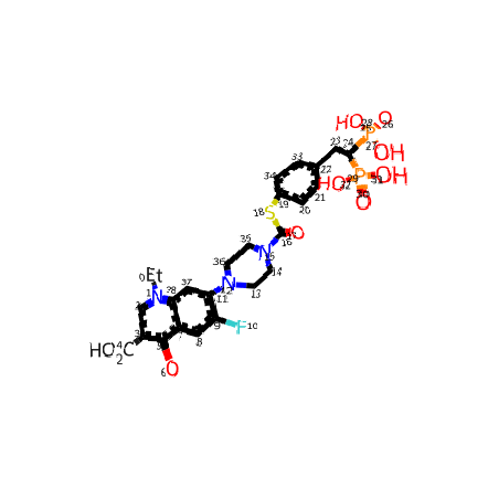 CCn1cc(C(=O)O)c(=O)c2cc(F)c(N3CCN(C(=O)Sc4ccc(CC(P(=O)(O)O)P(=O)(O)O)cc4)CC3)cc21